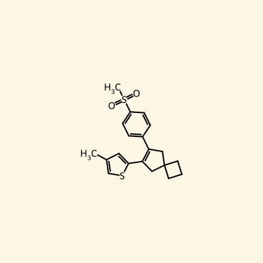 Cc1csc(C2=C(c3ccc(S(C)(=O)=O)cc3)CC3(CCC3)C2)c1